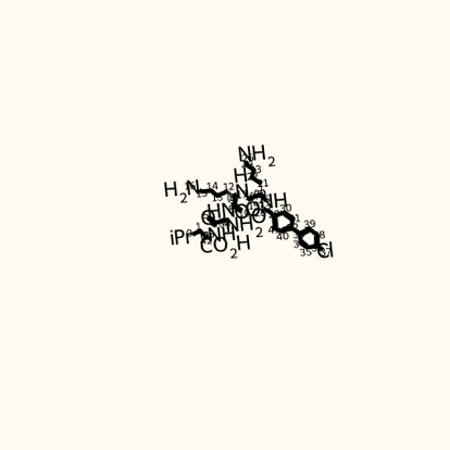 CC(C)C[C@H](NC(=O)[C@H](N)NC(=O)[C@H](CCCCN)NC(=O)[C@H](CCCCN)NC(=O)c1ccc(-c2ccc(Cl)cc2)cc1)C(=O)O